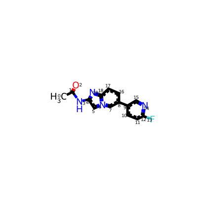 CC(=O)Nc1cn2cc(-c3ccc(F)nc3)ccc2n1